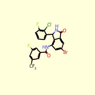 O=C(Nc1cc(Br)cc2c1C(c1cccc(F)c1Cl)NC2=O)c1cc(F)cc(C(F)(F)F)c1